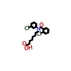 O=C(O)CCCCCCCN(C(=O)c1ccccc1Cl)c1cccc(Cl)c1